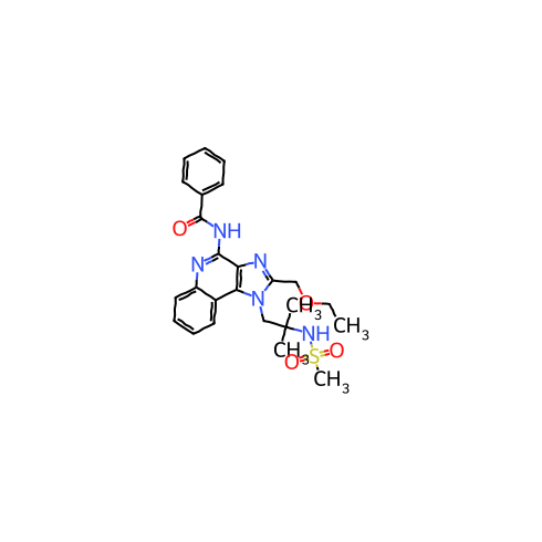 CCOCc1nc2c(NC(=O)c3ccccc3)nc3ccccc3c2n1CC(C)(C)NS(C)(=O)=O